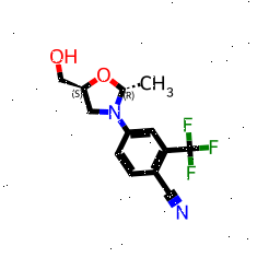 C[C@H]1O[C@H](CO)CN1c1ccc(C#N)c(C(F)(F)F)c1